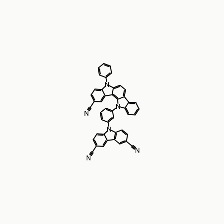 N#Cc1ccc2c(c1)c1cc(C#N)ccc1n2-c1cccc(-n2c3ccccc3c3ccc4c(c5cc(C#N)ccc5n4-c4ccccc4)c32)c1